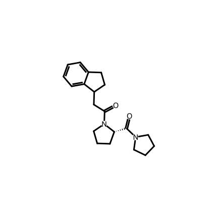 O=C([C@@H]1CCCN1C(=O)CC1CCc2ccccc21)N1CCCC1